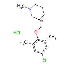 Cc1cc(Cl)cc(C)c1OC[C@H]1CCCN(C)C1.Cl